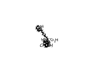 O=C(O)[C@H](CCOCCCCc1ccc2c(n1)NCCC2)NC(=O)C1(c2c(Cl)cc[nH]c2=O)CC1